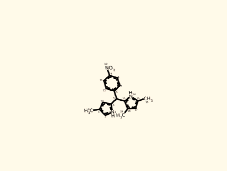 Cc1c[nH]c(C(c2ccc([N+](=O)[O-])cc2)c2[nH]c(C)cc2C)c1